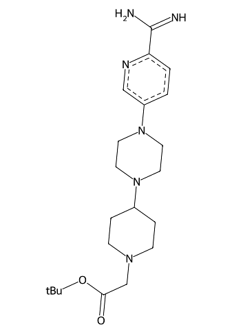 CC(C)(C)OC(=O)CN1CCC(N2CCN(c3ccc(C(=N)N)nc3)CC2)CC1